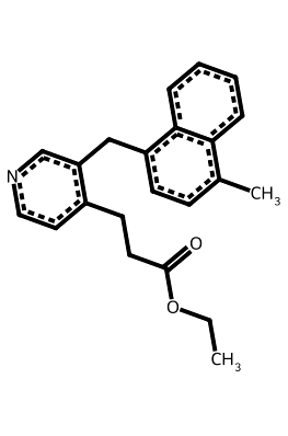 CCOC(=O)CCc1ccncc1Cc1ccc(C)c2ccccc12